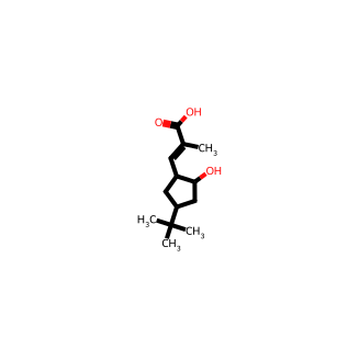 CC(=CC1CC(C(C)(C)C)CC1O)C(=O)O